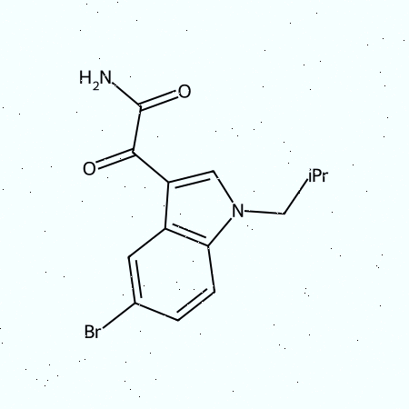 CC(C)Cn1cc(C(=O)C(N)=O)c2cc(Br)ccc21